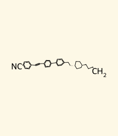 C=CCC[C@H]1CC[C@H](CCc2ccc(-c3ccc(C#Cc4ccc(C#N)cc4)cc3)cc2)CC1